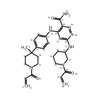 C=CC(=O)N1CCC(C)(c2ccc(Nc3nc(NC4CCCN(C(=O)C=C)C4)nnc3C(N)=O)cc2)CC1